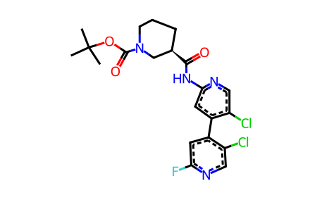 CC(C)(C)OC(=O)N1CCC[C@@H](C(=O)Nc2cc(-c3cc(F)ncc3Cl)c(Cl)cn2)C1